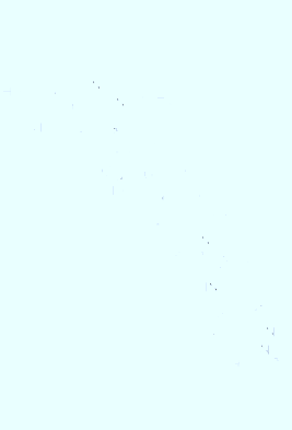 Cn1nc(C(C)(F)F)cc1S(=O)(=O)C(C)(C)C1CCN(C(=O)Nc2ccnnc2)CC1